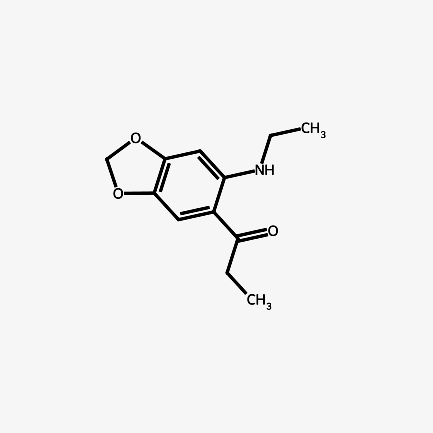 CCNc1cc2c(cc1C(=O)CC)OCO2